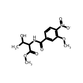 COC(=O)C(NC(=O)c1ccc([N+](=O)[O-])c(OC)c1)C(C)O